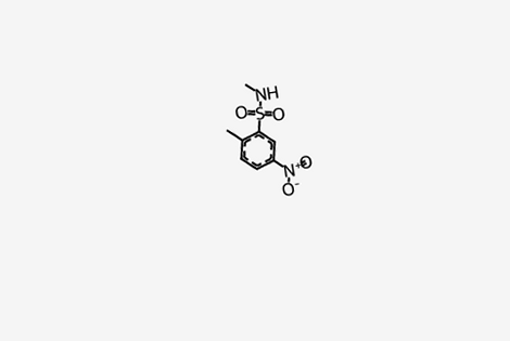 CNS(=O)(=O)c1cc([N+](=O)[O-])ccc1C